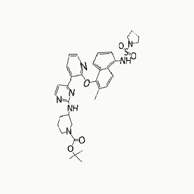 Cc1ccc2c(NS(=O)(=O)N3CCCC3)cccc2c1Oc1ncccc1-c1ccnc(NC2CCCN(C(=O)OC(C)(C)C)C2)n1